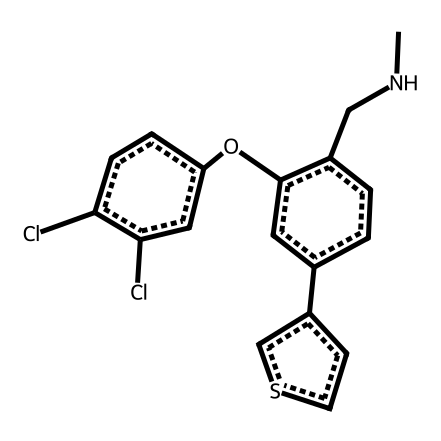 CNCc1ccc(-c2ccsc2)cc1Oc1ccc(Cl)c(Cl)c1